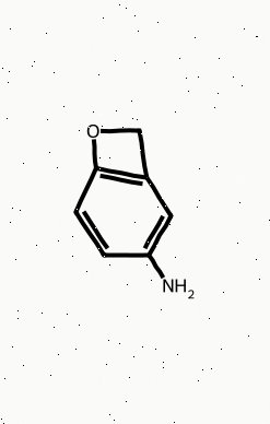 Nc1ccc2c(c1)CO2